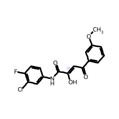 COc1cccc(C(=O)/C=C(\O)C(=O)Nc2ccc(F)c(Cl)c2)c1